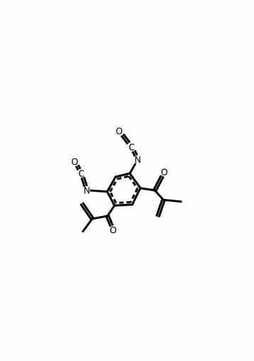 C=C(C)C(=O)c1cc(C(=O)C(=C)C)c(N=C=O)cc1N=C=O